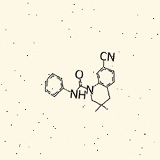 CC1(C)Cc2ccc(C#N)cc2N(C(=O)Nc2ccccc2)C1